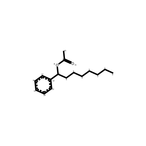 CCCCCCCC(OC(C)=O)c1ccccc1